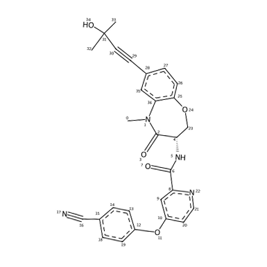 CN1C(=O)[C@@H](NC(=O)c2cc(Oc3ccc(C#N)cc3)ccn2)COc2ccc(C#CC(C)(C)O)cc21